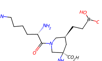 NCCCC[C@H](N)C(=O)N1C[C@@H](CCB(O)O)C[C@](N)(C(=O)O)C1